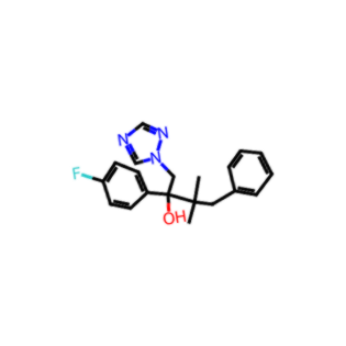 CC(C)(Cc1ccccc1)C(O)(Cn1cncn1)c1ccc(F)cc1